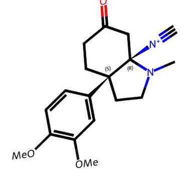 C#[N+][C@]12CC(=O)CC[C@@]1(c1ccc(OC)c(OC)c1)CCN2C